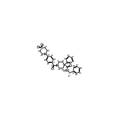 C[C@H](NC(=O)C1(c2ccccc2)CCN(C(=O)c2ccc(N3CCS(=O)(=O)CC3)cc2)CC1)c1ccccc1